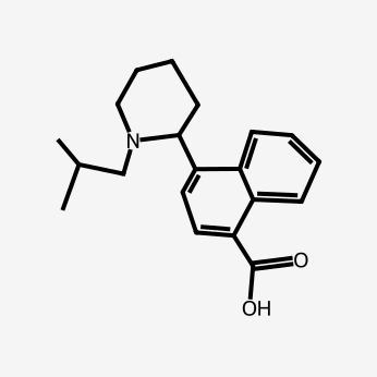 CC(C)CN1CCCCC1c1ccc(C(=O)O)c2ccccc12